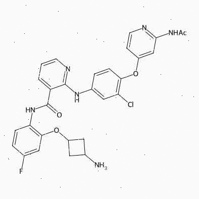 CC(=O)Nc1cc(Oc2ccc(Nc3ncccc3C(=O)Nc3ccc(F)cc3OC3CC(N)C3)cc2Cl)ccn1